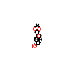 CC1(C)COC2(CC[C@@]34O[C@@]3(CC[C@@H]3C4=CC[C@]4(C)[C@@H](O)CC[C@@H]34)C2)OC1